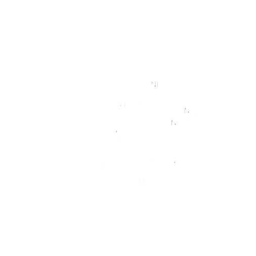 CCCCOc1c(C(=O)NC)n(N)ccc1=O